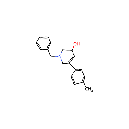 Cc1ccc(C2=CC(O)CN(Cc3ccccc3)C2)cc1